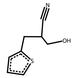 N#CC(CO)Cc1cccs1